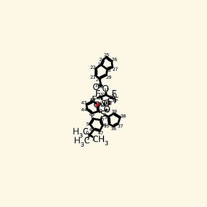 CC(C)(C)c1ccc(S(OS(=O)(=O)C(F)(F)C(OC(=O)c2ccc3ccccc3c2)C(F)(F)F)(c2ccccc2)c2ccccc2)cc1